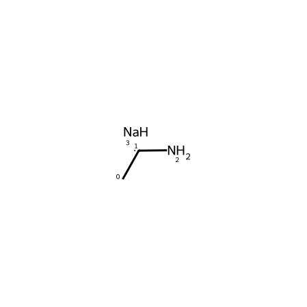 C[CH]N.[NaH]